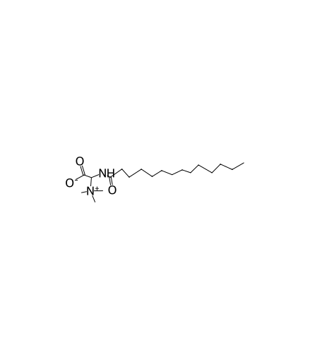 CCCCCCCCCCCCCC(=O)NC(C(=O)[O-])[N+](C)(C)C